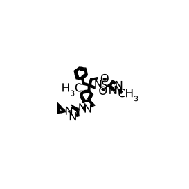 Cc1cc2c(cnn2-c2cnn(C3CC3)c2)cc1C1(Cc2ccccc2)CCN(S(=O)(=O)c2cnn(C)n2)C1